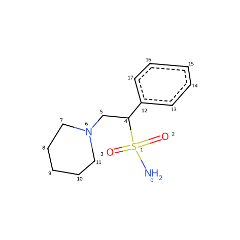 NS(=O)(=O)C(CN1CCCCC1)c1ccccc1